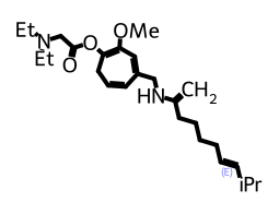 C=C(CCCC/C=C/C(C)C)NCC1=CC(OC)=C(OC(=O)CN(CC)CC)CC=C1